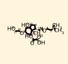 CN(C)CCO/N=C/[C@H]1CC[C@]2(O)C[C@@H](OCCO)CC[C@]12C.O=C(O)C(=O)O